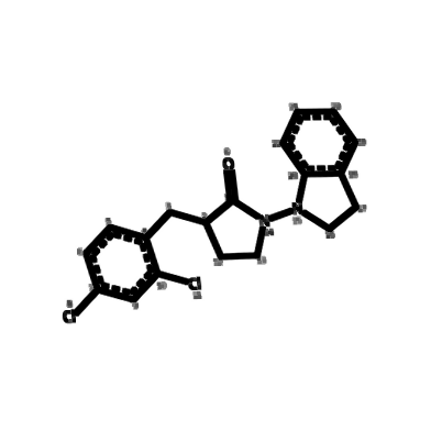 O=C1C(Cc2ccc(Cl)cc2Cl)CCN1N1CCc2ccccc21